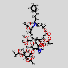 CCC(=O)O[C@@H]1CC(=O)O[C@H](C)CCN(CCCCc2ccccc2)C[C@H](OC(C)=O)[C@H](C)C[C@H](CC(OC)OC)[C@H]([C@@H]2O[C@H](C)[C@@H](O[C@@H]3C[C@@](C)(OC(C)=O)[C@@H](OC(=O)CC)[C@H](C)O3)[C@H](N(C)C)[C@H]2O)[C@@H]1OC